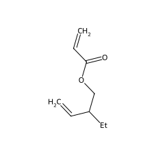 C=CC(=O)OCC(C=C)CC